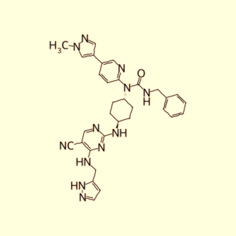 Cn1cc(-c2ccc(N(C(=O)NCc3ccccc3)[C@H]3CC[C@H](Nc4ncc(C#N)c(NCc5ccn[nH]5)n4)CC3)nc2)cn1